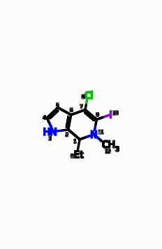 CCC1c2[nH]ccc2C(Cl)=C(I)N1C